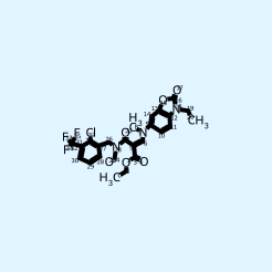 CCOC(=O)/C(=C/N(C)c1ccc2c(c1)oc(=O)n2CC)C(=O)N(C=O)Cc1cccc(C(F)(F)F)c1Cl